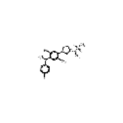 CCCc1cc(N2CC[C@H](N(C)S(C)(=O)=O)C2)c(C)cc1N(N)c1ccc(F)cc1